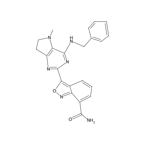 CN1CCc2nc(-c3onc4c(C(N)=O)cccc34)nc(NCc3ccccc3)c21